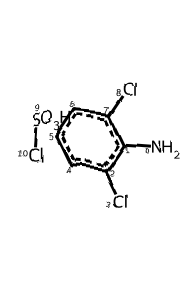 Nc1c(Cl)cccc1Cl.O=S(=O)(O)Cl